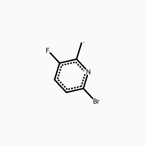 [CH2]c1nc(Br)ccc1F